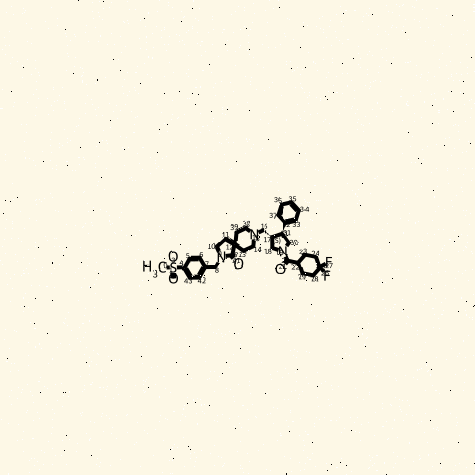 CS(=O)(=O)c1ccc(CN2CCC3(CCN(C[C@H]4CN(C(=O)C5CCC(F)(F)CC5)C[C@@H]4c4ccccc4)CC3)C2=O)cc1